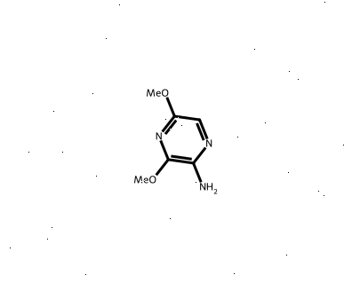 COc1cnc(N)c(OC)n1